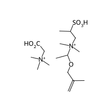 C=C(C)COC(C)[N+](C)(C)CC(C)S(=O)(=O)O.C[N+](C)(C)CC(=O)O